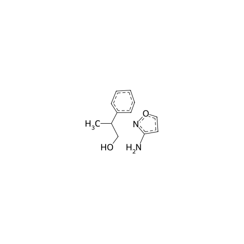 CC(CO)c1ccccc1.Nc1ccon1